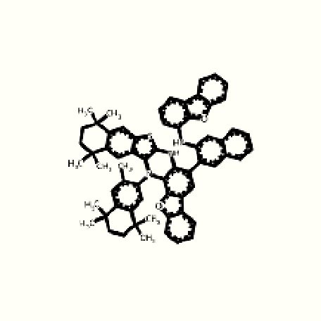 Cc1cc2c(cc1N1c3c(sc4cc5c(cc34)C(C)(C)CCC5(C)C)Bc3c(-c4cc5ccccc5cc4Nc4cccc5c4oc4ccccc45)cc4c(oc5ccccc54)c31)C(C)(C)CCC2(C)C